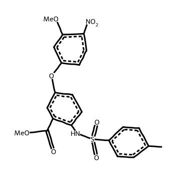 COC(=O)c1cc(Oc2ccc([N+](=O)[O-])c(OC)c2)ccc1NS(=O)(=O)c1ccc(C)cc1